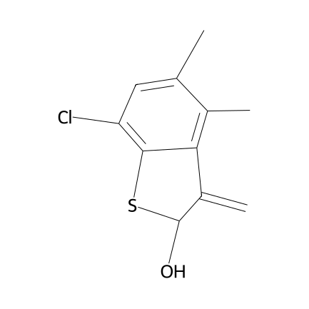 C=C1c2c(C)c(C)cc(Cl)c2SC1O